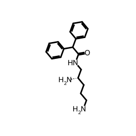 NCCC[C@H](N)CNC(=O)C(c1ccccc1)c1ccccc1